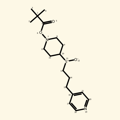 CC(C)(C)C(=O)ON1CCC([S+]([O-])CCCc2ccncc2)CC1